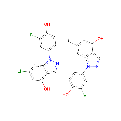 CCc1cc(O)c2cnn(-c3ccc(O)c(F)c3)c2c1.Oc1ccc(-n2ncc3c(O)cc(Cl)cc32)cc1F